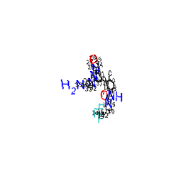 Cc1ccc(NC(=O)N2CC[C@@H](CC(F)(F)F)C2)cc1-c1cc(N2CCOCC2)nc(N2CC[C@@H](N)C2)c1